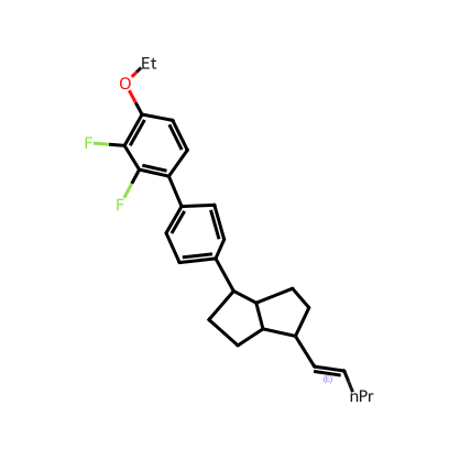 CCC/C=C/C1CCC2C(c3ccc(-c4ccc(OCC)c(F)c4F)cc3)CCC12